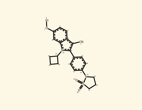 CCOc1ccc2c(C#N)c(-c3ccc(N4CCCS4(=O)=O)cc3)n(C3CCC3)c2c1